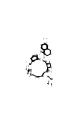 CC[C@@H]1CC/C=C/[C@H](O[C@H](C)C(=O)N(C)C)[C@@H]2CC[C@H]2CN2C[C@@]3(CCCc4cc(Cl)ccc43)COc3ccc(cc32)C(=O)NS1(=O)=O